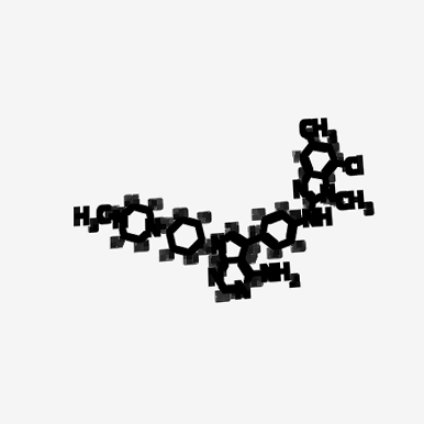 Cc1cc(Cl)c2c(c1)nc(Nc1ccc(-c3cn([C@H]4CC[C@@H](N5CCN(C)CC5)CC4)c4ncnc(N)c34)cc1)n2C